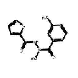 Cc1cccc(C(=O)N(NC(=O)c2cccs2)C(C)(C)C)c1